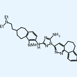 CCN(CC)CCC1CCc2ccc(Nc3nc(N)n(-c4cc5c(nn4)-c4ccccc4CCC5)n3)c(NC)c2CC1